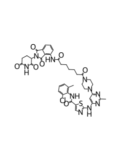 Cc1nc(Nc2ncc(C(=O)Nc3c(C)cccc3Cl)s2)cc(N2CCN(C(=O)CCCCCC(=O)Nc3cccc4c3C(=O)N(C3CCC(=O)NC3=O)C4=O)CC2)n1